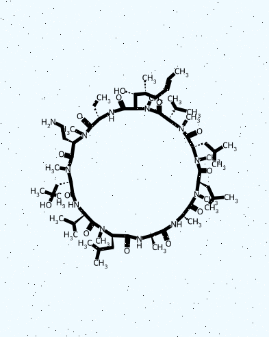 C/C=C/C[C@@H](C)[C@@H](O)C1C(=O)N[C@@H](CC)C(=O)N(C)[C@H](CCN)C(=O)N(C)[C@@H](CC(C)(C)O)C(=O)N[C@H](C(C)C)C(=O)N(C)[C@H](CC(C)C)C(=O)N[C@H](C)C(=O)N[C@@H](C)C(=O)N(C)[C@H](CC(C)C)C(=O)N(C)[C@@H](CC(C)C)C(=O)N(C)[C@@H](C(C)C)C(=O)N1C